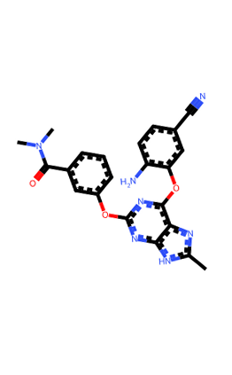 Cc1nc2c(Oc3cc(C#N)ccc3N)nc(Oc3cccc(C(=O)N(C)C)c3)nc2[nH]1